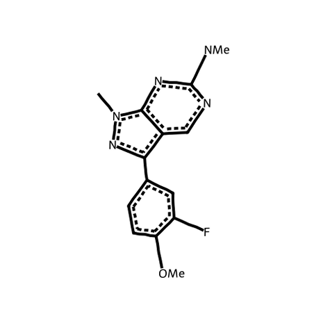 CNc1ncc2c(-c3ccc(OC)c(F)c3)nn(C)c2n1